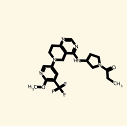 CCC(=O)N1CCC(Nc2ncnc3c2CN(c2cnc(OC)c(C(F)(F)F)c2)CC3)C1